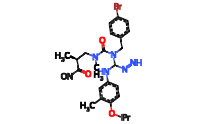 Cc1cc(NC(N=N)N(Cc2ccc(Br)cc2)C(=O)N(C)C[C@H](C)C(=O)N=O)ccc1OC(C)C